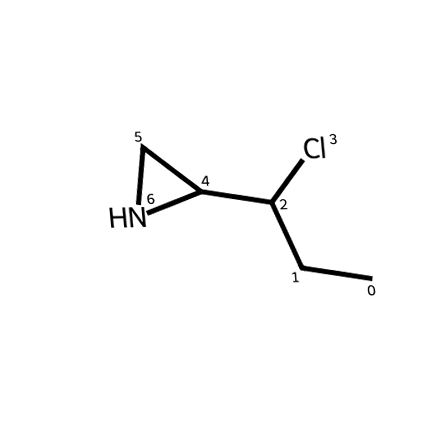 CCC(Cl)C1CN1